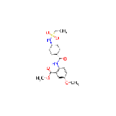 CCS(=O)(=O)N[C@H]1CC[C@H](C(=O)Nc2ccc(OC)cc2C(=O)OC)CC1